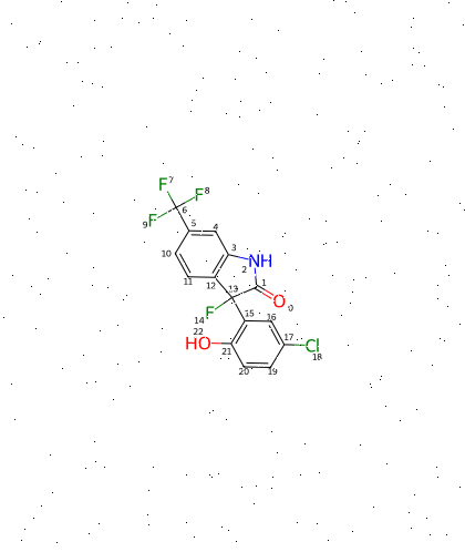 O=C1Nc2cc(C(F)(F)F)ccc2C1(F)c1cc(Cl)ccc1O